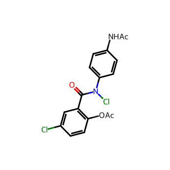 CC(=O)Nc1ccc(N(Cl)C(=O)c2cc(Cl)ccc2OC(C)=O)cc1